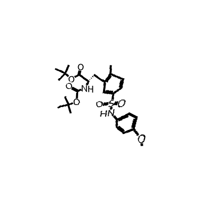 COc1ccc(NS(=O)(=O)c2ccc(C)c(C[C@H](NC(=O)OC(C)(C)C)C(=O)OC(C)(C)C)c2)cc1